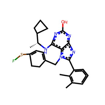 CC1=C(C)C(c2nc3nc(O)nc(N[C@H](C)C4CCC4)c3n2CC2=CC=C(SF)CC2)=C=C=C1